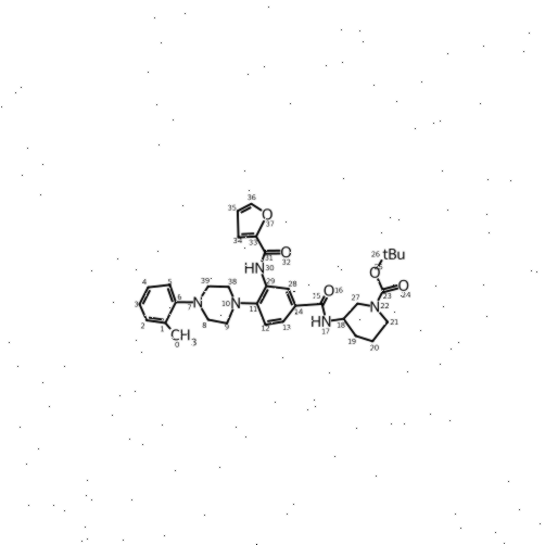 Cc1ccccc1N1CCN(c2ccc(C(=O)NC3CCCN(C(=O)OC(C)(C)C)C3)cc2NC(=O)c2ccco2)CC1